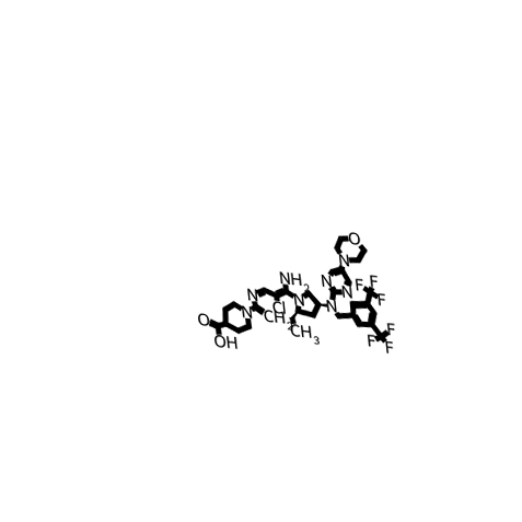 C=C(/N=C\C(Cl)=C(/N)N1C[C@@H](N(Cc2cc(C(F)(F)F)cc(C(F)(F)F)c2)c2ncc(N3CCOCC3)cn2)C[C@H]1CC)N1CCC(C(=O)O)CC1